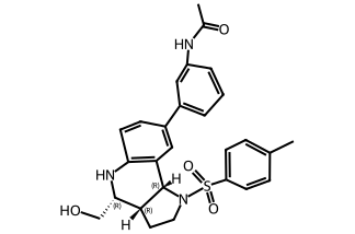 CC(=O)Nc1cccc(-c2ccc3c(c2)[C@H]2[C@H](CCN2S(=O)(=O)c2ccc(C)cc2)[C@H](CO)N3)c1